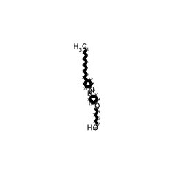 CCCCCCCCCCCc1ccc(N=Nc2ccc(OCCCCCCO)cc2)cc1